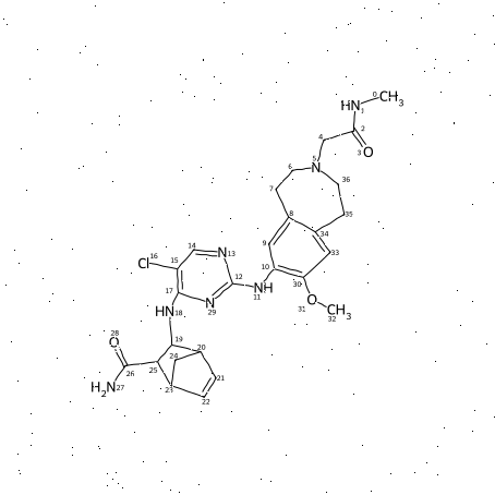 CNC(=O)CN1CCc2cc(Nc3ncc(Cl)c(NC4C5C=CC(C5)C4C(N)=O)n3)c(OC)cc2CC1